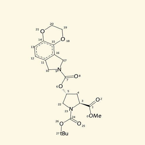 COC(=O)[C@@H]1C[C@@H](OC(=O)N2Cc3ccc4c(c3C2)OCCO4)CN1C(=O)OC(C)(C)C